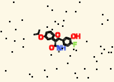 CNC(=O)c1c(-c2ccc(F)c(O)c2)oc2ccc(OC(C)C)cc12